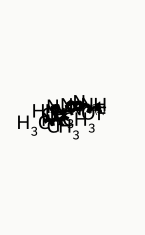 Cc1c(F)c(C(C)N(C)C)c2[nH]ncc2c1-c1cn2cc(NC(=O)[C@@H]3C[C@@H]3F)nc2cn1